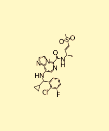 C[C@H](/C=C/S(C)(=O)=O)NC(=O)c1ncc(NC(c2cccc(F)c2Cl)C2CC2)c2nccn12